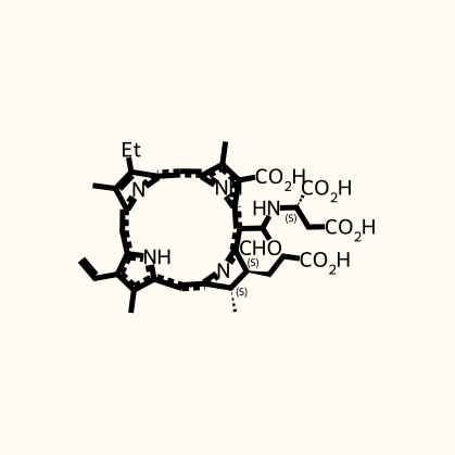 C=Cc1c(C)c2cc3nc(c(C(C=O)N[C@@H](CC(=O)O)C(=O)O)c4[nH]c(cc5nc(cc1[nH]2)C(C)=C5CC)c(C)c4C(=O)O)[C@@H](CCC(=O)O)[C@@H]3C